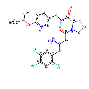 CC(C)[C@@H](Oc1ccc(CNC(=O)[C@@H]2SCCN2C(=O)C[C@H](N)Cc2cc(F)c(F)cc2F)cn1)C(=O)O